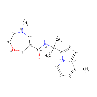 Cc1cccn2c(C(C)(C)NC(=O)C3COCCN(C)C3)ccc12